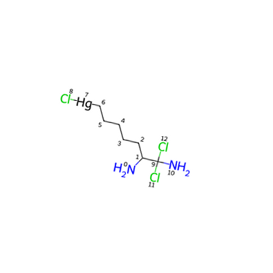 NC(CCCC[CH2][Hg][Cl])C(N)(Cl)Cl